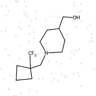 OCC1CCN(CC2(C(F)(F)F)CCC2)CC1